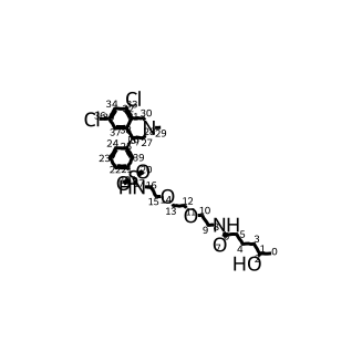 CC(O)CCCC(=O)NCCOCCOCCNS(=O)(=O)c1cccc([C@@H]2CN(C)Cc3c(Cl)cc(Cl)cc32)c1